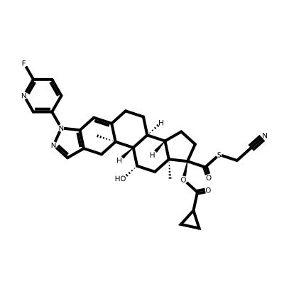 C[C@]12Cc3cnn(-c4ccc(F)nc4)c3C=C1CC[C@@H]1[C@@H]2[C@@H](O)C[C@@]2(C)[C@H]1CC[C@]2(OC(=O)C1CC1)C(=O)SCC#N